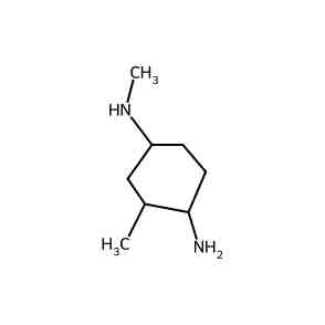 CNC1CCC(N)C(C)C1